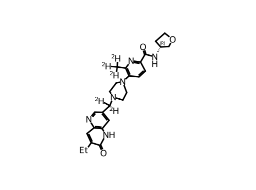 [2H]C([2H])([2H])c1nc(C(=O)N[C@@H]2CCOC2)ccc1N1CCN(C([2H])([2H])c2cnc3cc(CC)c(=O)[nH]c3c2)CC1